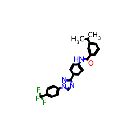 CC(C)c1cccc(C(=O)Nc2ccc(-c3ncn(-c4ccc(C(F)(F)F)cc4)n3)cc2)c1